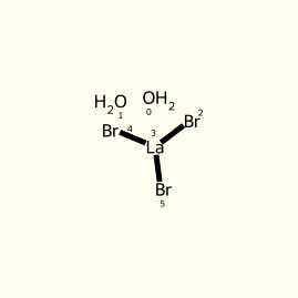 O.O.[Br][La]([Br])[Br]